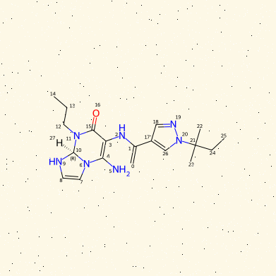 C=C(NC1=C(N)N2C=CN[C@H]2N(CCC)C1=O)c1cnn(C(C)(C)CC)c1